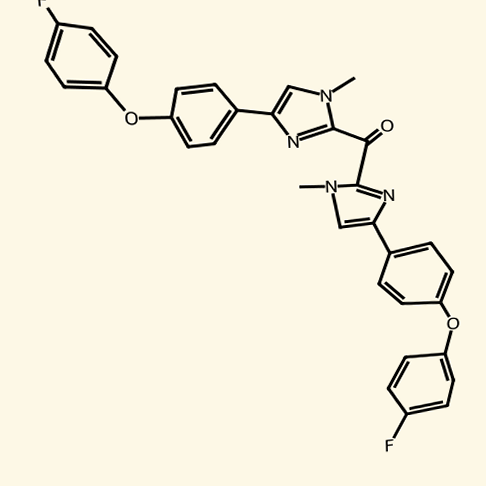 Cn1cc(-c2ccc(Oc3ccc(F)cc3)cc2)nc1C(=O)c1nc(-c2ccc(Oc3ccc(F)cc3)cc2)cn1C